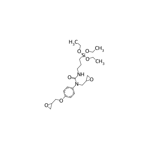 CCO[Si](CCCNC(=O)N(CC1CO1)c1ccc(OCC2CO2)cc1)(OCC)OCC